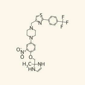 CC1(COc2ccc(N3CCN(Cc4csc(-c5ccc(C(F)(F)F)cc5)n4)CC3)cc2[N+](=O)[O-])NC=CN1